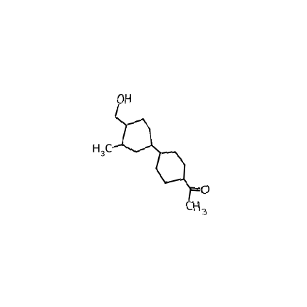 CC(=O)C1CCC(C2CCC(CO)C(C)C2)CC1